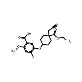 CCOC(=O)C1(CC#N)CCC(Oc2cc(C(=O)O)c(OC)cc2F)CC1